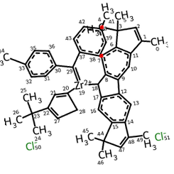 CC1=CC(C)(C)c2cc3c(cc21)-c1cc2c(cc1[CH]3[Zr+2]([C]1=CC(C(C)(C)C)=CC1)=[C](c1ccc(C)cc1)c1ccc(C)cc1)C(C)(C)C=C2C.[Cl-].[Cl-]